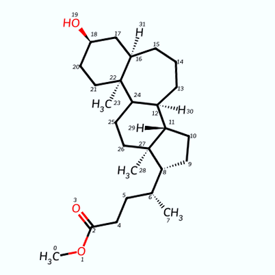 COC(=O)CC[C@@H](C)[C@H]1CC[C@H]2[C@@H]3CCC[C@@H]4C[C@H](O)CC[C@]4(C)C3CC[C@]12C